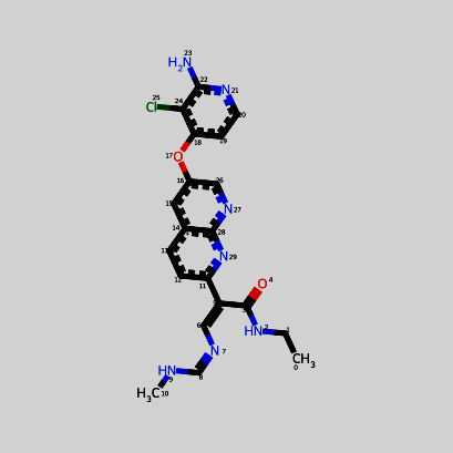 CCNC(=O)/C(=C\N=C/NC)c1ccc2cc(Oc3ccnc(N)c3Cl)cnc2n1